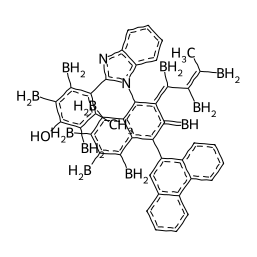 B=c1c(-c2cc3ccccc3c3ccccc23)c2c(B)c(B)c(B)c(B)c2c(-n2c(-c3c(B)c(B)c(O)c(B)c3C)nc3ccccc32)/c1=C(B)/C(B)=C(/B)C